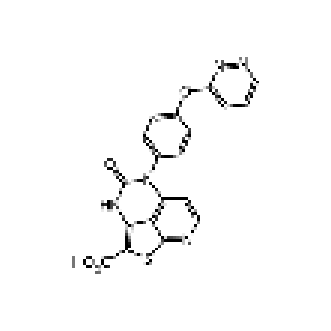 O=C(O)c1sc2nccc3c2c1NC(=O)N3c1ccc(Oc2cccnn2)cc1